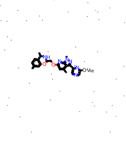 COc1cncc(-c2nn(C)c3nc(OCC(=O)NC(C)c4ccc(C)cc4)cc(C)c23)n1